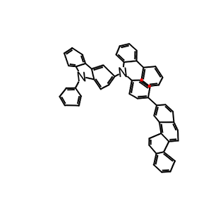 c1ccc(-c2ccccc2N(c2ccc(-c3ccc4ccc5c6ccccc6ccc5c4c3)cc2)c2ccc3c(c2)c2ccccc2n3-c2ccccc2)cc1